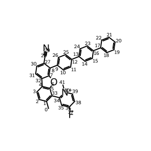 Cc1ccc2c(oc3c(-c4ccc(-c5ccc(-c6ccccc6)cc5)cc4)c(C#N)ccc32)c1-c1cc(F)cc[n+]1C